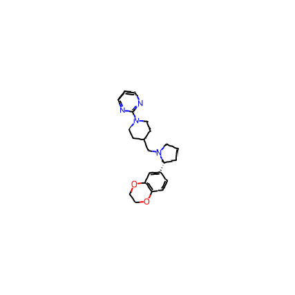 c1cnc(N2CCC(CN3CCC[C@@H]3c3ccc4c(c3)OCCO4)CC2)nc1